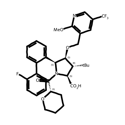 COc1ncc(C(F)(F)F)cc1CO[C@H]1[C@H](C(C)(C)C)[C@@H](C(=O)O)N(C(=O)[C@@H]2CCCCO2)[C@H]1c1ccccc1-c1ccccc1F